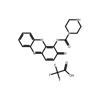 O=C(O)C(F)(F)F.O=C(Oc1c2oc3ccccc3nc-2ccc1=O)N1CCNCC1